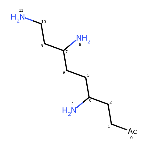 CC(=O)CCC(N)CCC(N)CCN